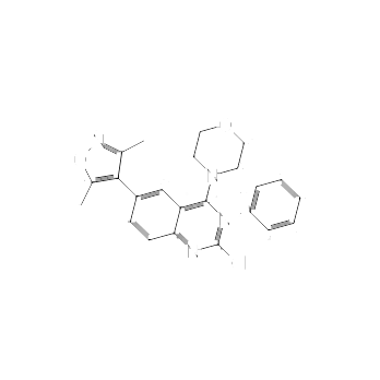 Cc1noc(C)c1-c1ccc2nc(Cl)nc(N3CCOC[C@@H]3c3ccccc3)c2c1